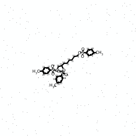 Cc1ccc(S(=O)(=O)OCCCCCCC(COS(=O)(=O)c2ccc(C)cc2)OS(=O)(=O)c2ccc(C)cc2)cc1